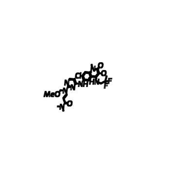 COCN(/C=C/C(=O)N(C)C)c1ncc(Cl)c(Nc2ccc3c(c2)c2c(c(=O)n3C)OCC(F)(F)CN2)n1